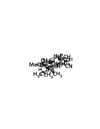 C/N=C1\C[C@@H]2[C@@]3(C)C=C(C#N)C(=O)C(C)(C)[C@@H]3CC[C@@]2(C)[C@]2(C)CC[C@@]3(C(=O)OC)CCC(C)(C)C[C@H]3[C@@H]12